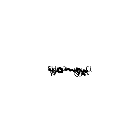 CCn1ncc(-c2ccc(OCCCCCN3CCN(c4ccnc(Cl)c4)S3(=O)=O)cc2)n1